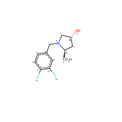 O=C(O)[C@@H]1C[C@@H](O)CN1Cc1ccc(F)c(F)c1